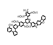 CCCCCCCCc1cc(-c2cc(-c3cc(CCCCCCCC)c(-c4cccc(-c5ccccc5-c5cccc(C)c5)c4)cc3CCCCCCCC)nc(-c3ccc4sc5cc6oc7ccccc7c6cc5c4c3)n2)c(CCCCCCCC)cc1C